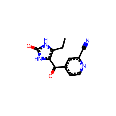 CCc1[nH]c(=O)[nH]c1C(=O)c1ccnc(C#N)c1